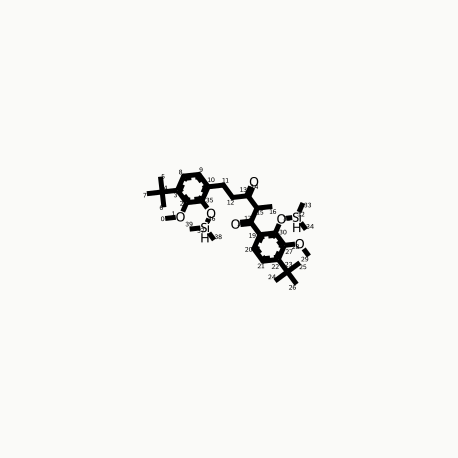 COc1c(C(C)(C)C)ccc(CCC(=O)C(C)C(=O)c2ccc(C(C)(C)C)c(OC)c2O[SiH](C)C)c1O[SiH](C)C